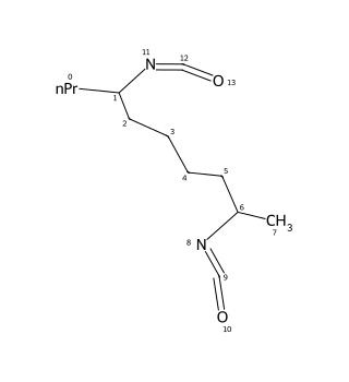 CCCC(CCCCC(C)N=C=O)N=C=O